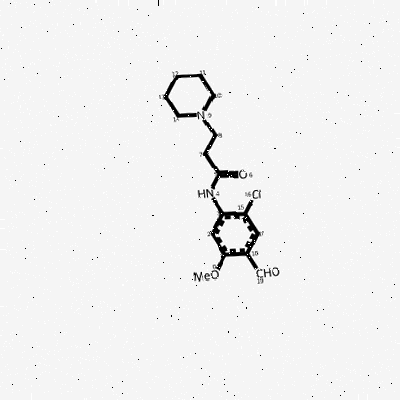 COc1cc(NC(=O)CCN2CC[CH]CC2)c(Cl)cc1C=O